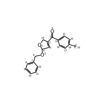 O=C(C1=CC(OCc2ccccc2)OC1)c1ccc(F)cc1